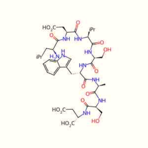 CC(C)C[C@H](N)C(=O)N[C@@H](CC(=O)O)C(=O)N[C@H](C(=O)N[C@@H](CO)C(=O)N[C@@H](Cc1c[nH]c2ccccc12)C(=O)N[C@@H](C)C(=O)N[C@@H](CO)C(=O)N[C@@H](CC(=O)O)C(=O)O)C(C)C